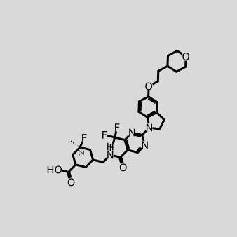 C[C@]1(F)CC(CNC(=O)c2cnc(N3CCc4cc(OCCC5CCOCC5)ccc43)nc2C(F)(F)F)CC(C(=O)O)C1